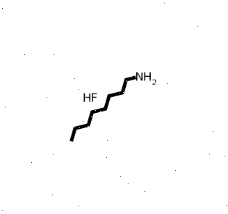 CCCCCCCCN.F